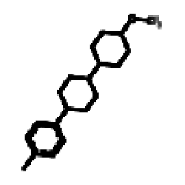 Cc1ccc(C2CCC(C3CCC(OC(F)(F)F)CC3)CC2)cc1